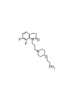 CCCOC1CCN(CCCN2C(=O)CCc3ccc(F)c(F)c32)CC1